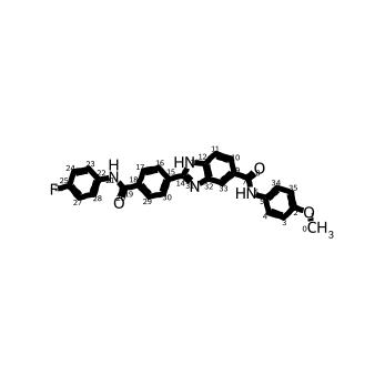 COc1ccc(NC(=O)c2ccc3[nH]c(-c4ccc(C(=O)Nc5ccc(F)cc5)cc4)nc3c2)cc1